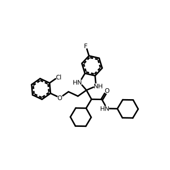 O=C(NC1CCCCC1)C(C1CCCCC1)C1(CCOc2ccccc2Cl)Nc2ccc(F)cc2N1